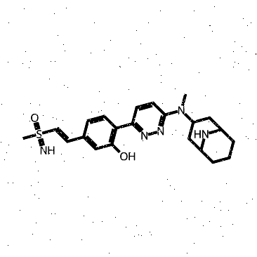 CN(c1ccc(-c2ccc(/C=C/S(C)(=N)=O)cc2O)nn1)C1CC2CCCC(C1)N2